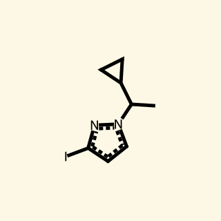 CC(C1CC1)n1ccc(I)n1